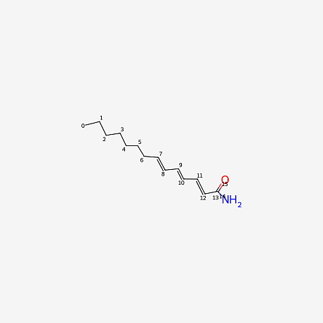 CCCCCCCC=CC=CC=CC(N)=O